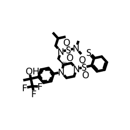 CC(C)CN(C[C@H]1CN(S(=O)(=O)C2=CC=CCC2=S)CCN1c1ccc(C(C)(O)C(F)(F)F)cc1)S(=O)(=O)N(C)C